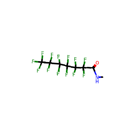 CNC(=O)C(F)(F)C(F)(F)C(F)(F)C(F)(F)C(F)(F)C(F)(F)F